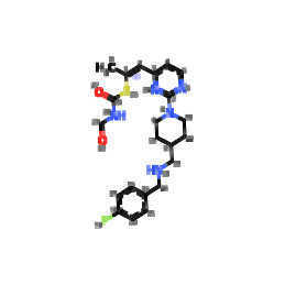 C/C(=C/c1ccnc(N2CCC(CNCc3ccc(F)cc3)CC2)n1)SC(=O)NC=O